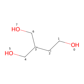 OC[C][C](CO)CO